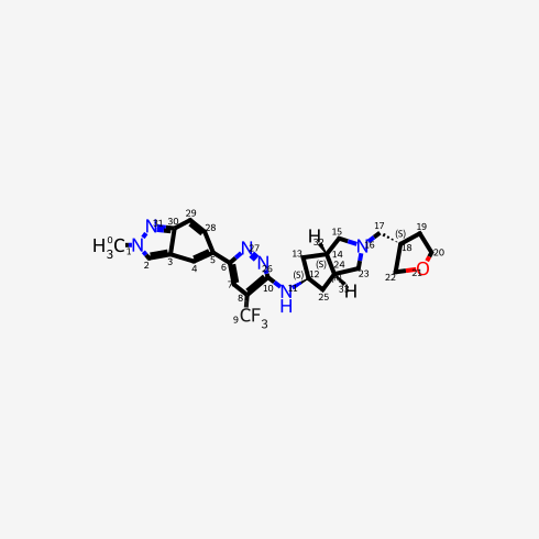 Cn1cc2cc(-c3cc(C(F)(F)F)c(N[C@H]4C[C@@H]5CN(C[C@@H]6CCOC6)C[C@@H]5C4)nn3)ccc2n1